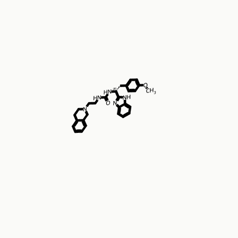 COc1ccc(C[C@@H](NC(=O)NCCN2CCc3ccccc3C2)c2nc3ccccc3[nH]2)cc1